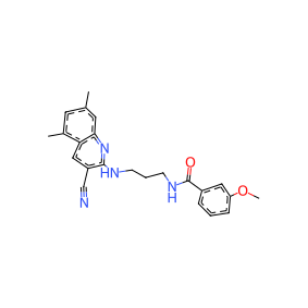 COc1cccc(C(=O)NCCCNc2nc3cc(C)cc(C)c3cc2C#N)c1